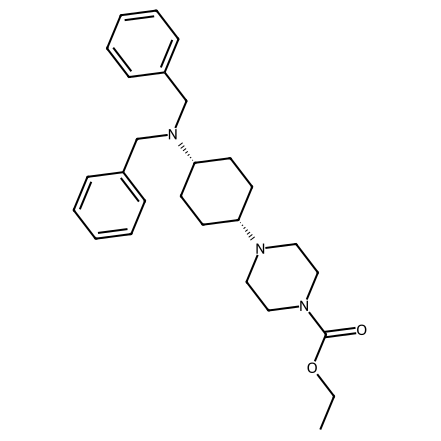 CCOC(=O)N1CCN([C@H]2CC[C@@H](N(Cc3ccccc3)Cc3ccccc3)CC2)CC1